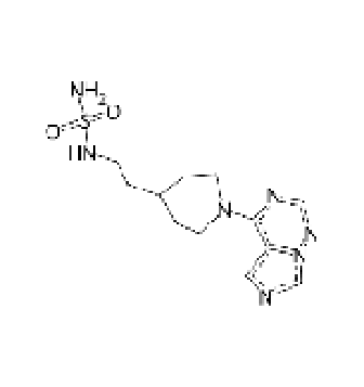 NS(=O)(=O)NCCC1CCN(c2ncnn3cncc23)CC1